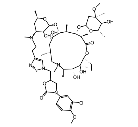 CC[C@H]1OC(=O)[C@H](C)[C@@H](O[C@H]2C[C@@](C)(OC)[C@@H](O)[C@H](C)O2)[C@H](C)[C@@H](O[C@@H]2O[C@H](C)C[C@H](N(C)CCc3cn(C[C@H]4CN(c5ccc(OC)c(Cl)c5)C(=O)O4)nn3)[C@H]2O)[C@](C)(O)C[C@@H](C)CN(C)[C@H](C)[C@@H](O)[C@]1(C)O